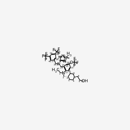 CCN(C[C@H]1CC[C@H](CCO)CC1)c1ccc(OC(F)(F)F)cc1CN(Cc1cc(C(F)(F)F)cc(C(F)(F)F)c1)c1nnn(C)n1